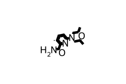 CC1CN(c2cc[c]c(C(N)=O)n2)CC(C)O1